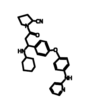 N#CC1CCCN1C(=O)CC(NC1CCCCC1)c1ccc(Oc2ccc(Nc3ccccn3)cc2)cc1